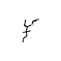 CCCC(C)(C)C(CC)O[C]=O